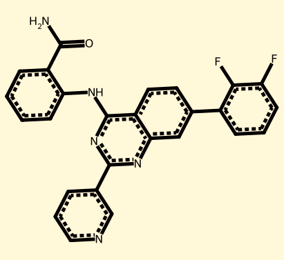 NC(=O)c1ccccc1Nc1nc(-c2cccnc2)nc2cc(-c3cccc(F)c3F)ccc12